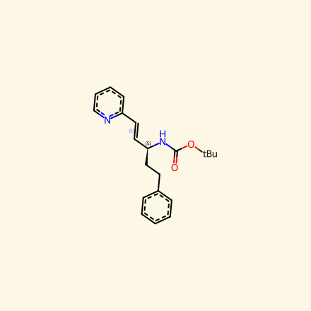 CC(C)(C)OC(=O)N[C@H](/C=C/c1ccccn1)CCc1ccccc1